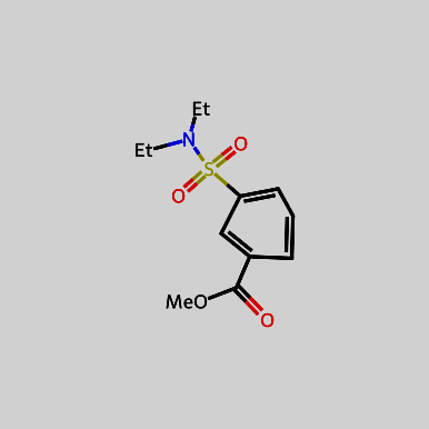 CCN(CC)S(=O)(=O)c1cccc(C(=O)OC)c1